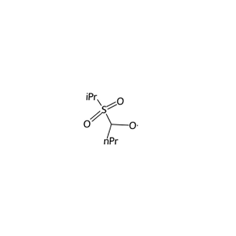 CCCC([O])S(=O)(=O)C(C)C